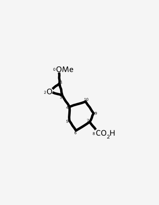 COC1OC1C1CCC(C(=O)O)CC1